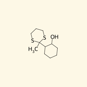 CC1(C2CCCCC2O)SCCCS1